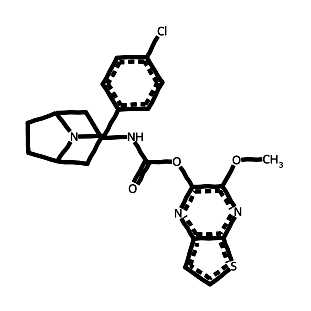 COc1nc2sccc2nc1OC(=O)NC1CC2CCC(C1)N2Cc1ccc(Cl)cc1